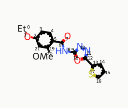 [CH2]COc1ccc(C(=O)Nc2nnc(-c3cccs3)o2)c(OC)c1